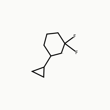 FC1(F)[CH]C(C2CC2)CCC1